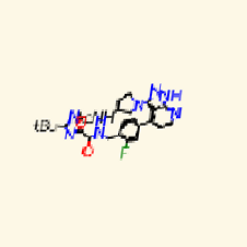 CC(=O)NC1CCN(c2n[nH]c3nccc(-c4ccc(CNC(=O)c5nc(C(C)(C)C)no5)c(F)c4)c23)C1